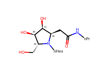 CCCCCCN1[C@H](CC(=O)NCCC)[C@H](O)[C@H](O)[C@H]1CO